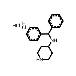 Cl.Cl.c1ccc(C(NC2CCNCC2)c2ccccc2)cc1